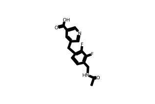 CC(=O)NCc1ccc(Cc2cncc(C(=O)O)c2)c(F)c1F